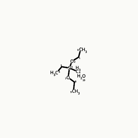 CCO[Si](C)(CC)OCC.O